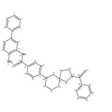 Nc1ccc(-c2ccccc2)cc1NC(=O)c1ccc(N2CCCC3(CCN(C(=O)c4ccccc4)C3)C2)nc1